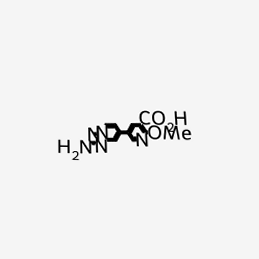 COc1ncc(-c2ccn3nc(N)nc3c2)cc1C(=O)O